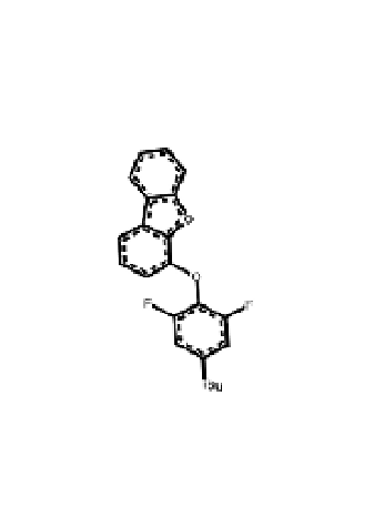 CCC(C)c1cc(F)c(Oc2cccc3c2oc2ccccc23)c(F)c1